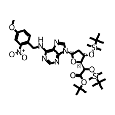 COc1ccc(CNc2ncnc3c2ncn3[C@H]2C[C@H](O[Si](C)(C)C(C)(C)C)[C@@H](C(O[Si](C)(C)C(C)(C)C)C(=O)OC(C)(C)C)O2)c([N+](=O)[O-])c1